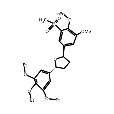 CCCOc1c(OC)cc([C@H]2CC[C@H](c3cc(OCC)c(OCC)c(OCC)c3)O2)cc1S(C)(=O)=O